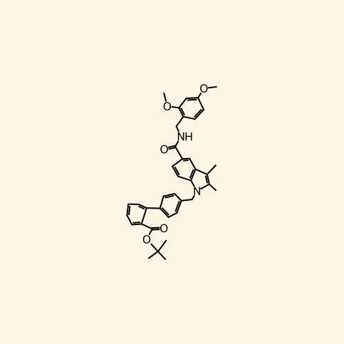 COc1ccc(CNC(=O)c2ccc3c(c2)c(C)c(C)n3Cc2ccc(-c3ccccc3C(=O)OC(C)(C)C)cc2)c(OC)c1